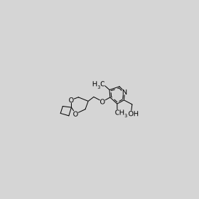 Cc1cnc(CO)c(C)c1OCC1COC2(CCC2)OC1